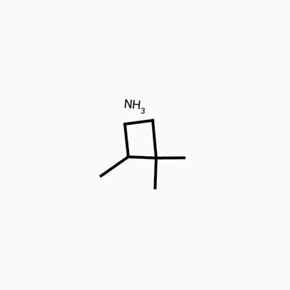 CC1CCC1(C)C.N